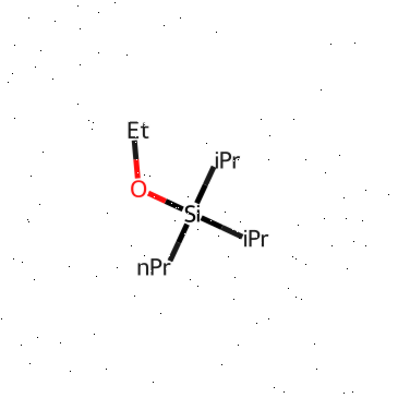 CCC[Si](OCC)(C(C)C)C(C)C